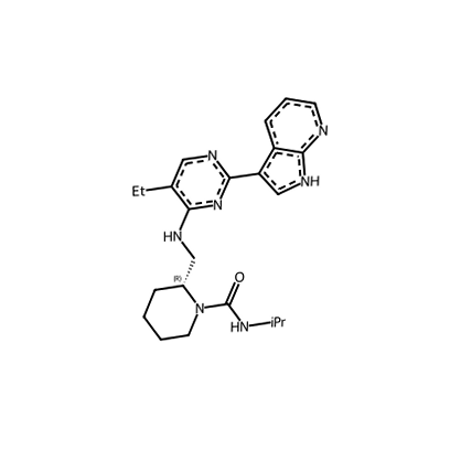 CCc1cnc(-c2c[nH]c3ncccc23)nc1NC[C@H]1CCCCN1C(=O)NC(C)C